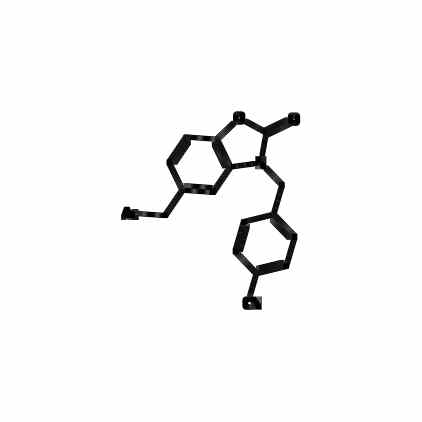 CC(=O)Cc1ccc2oc(=O)n(Cc3ccc(C#N)cc3)c2c1